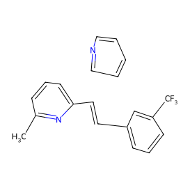 Cc1cccc(C=Cc2cccc(C(F)(F)F)c2)n1.c1ccncc1